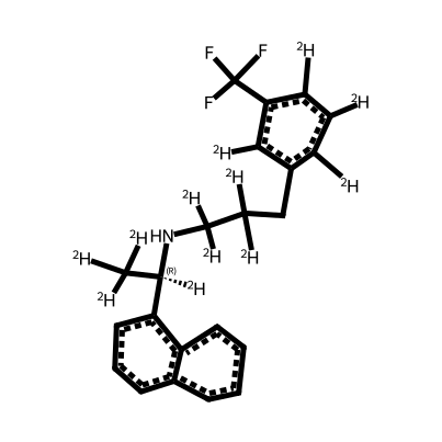 [2H]c1c([2H])c(CC([2H])([2H])C([2H])([2H])N[C@@]([2H])(c2cccc3ccccc23)C([2H])([2H])[2H])c([2H])c(C(F)(F)F)c1[2H]